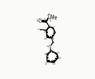 COC(=O)c1ccc(COc2ccccc2)cc1I